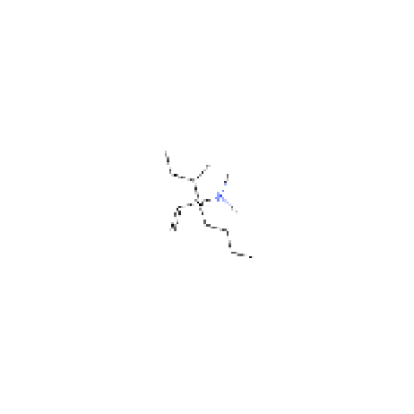 C=C[Si](CCCC)(C(C)CC)N(C)C